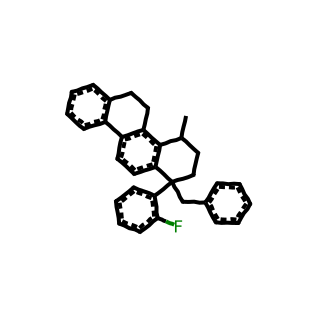 CC1CCC(Cc2ccccc2)(c2ccccc2F)c2ccc3c(c21)CCc1ccccc1-3